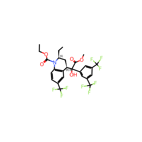 CCOC(=O)N1c2ccc(C(F)(F)F)cc2[C@H]([C@](O)(C(=O)OC)c2cc(C(F)(F)F)cc(C(F)(F)F)c2)C[C@@H]1CC